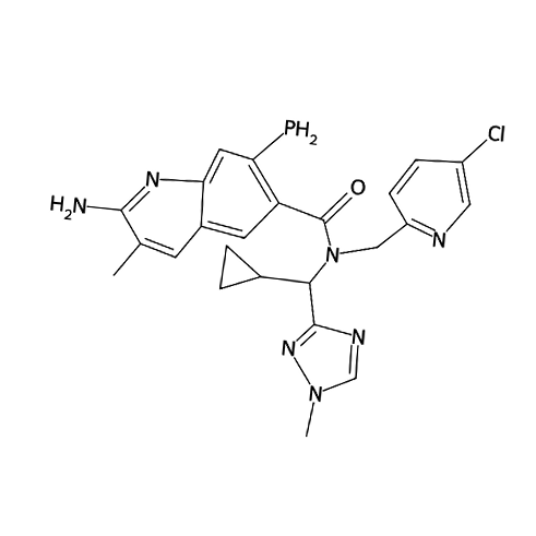 Cc1cc2cc(C(=O)N(Cc3ccc(Cl)cn3)C(c3ncn(C)n3)C3CC3)c(P)cc2nc1N